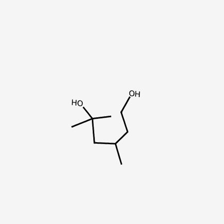 CC(CCO)CC(C)(C)O